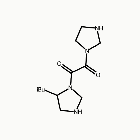 CCC(C)C1CNCN1C(=O)C(=O)N1CCNC1